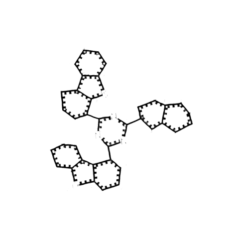 c1ccc2cc(-c3nc(-c4cccc5c4sc4ccccc45)nc(-c4cccc5oc6ccccc6c45)n3)ccc2c1